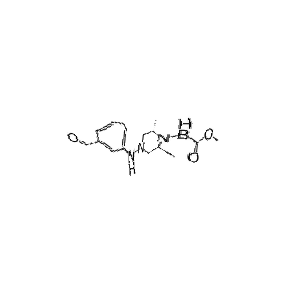 COC(=O)BN1C(C)CN(Nc2cccc(C=O)c2)C[C@@H]1C